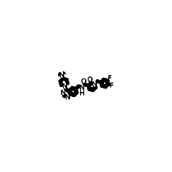 CN(C)C1CCN(c2ncnc3ccc(CNC(=O)c4cccn(Cc5ccc(F)c(F)c5)c4=O)cc23)CC1